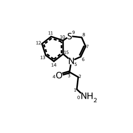 NCCC(=O)N1C=CCSc2ccccc21